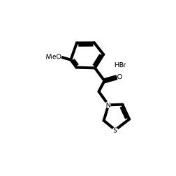 Br.COc1cccc(C(=O)CN2C=CSC2)c1